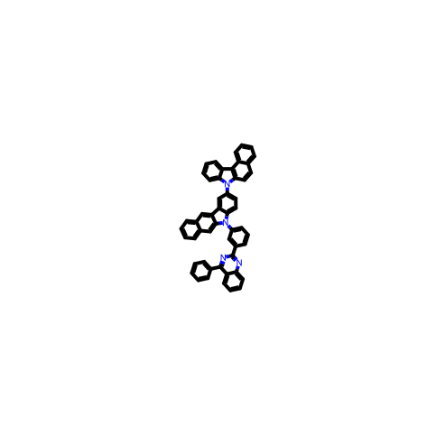 c1ccc(-c2nc(-c3cccc(-n4c5ccc(-n6c7ccccc7c7c8ccccc8ccc76)cc5c5cc6ccccc6cc54)c3)nc3ccccc23)cc1